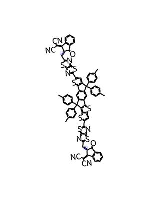 Cc1ccc(C2(c3ccc(C)cc3)c3cc4c(cc3-c3sc(-c5nc6sc(/C=C7\C(=O)c8ccccc8C7=C(C#N)C#N)nc6s5)cc32)C(c2ccc(C)cc2)(c2ccc(C)cc2)c2c-4sc3cc(-c4nc5sc(/C=C6\C(=O)c7ccccc7C6=C(C#N)C#N)nc5s4)sc23)cc1